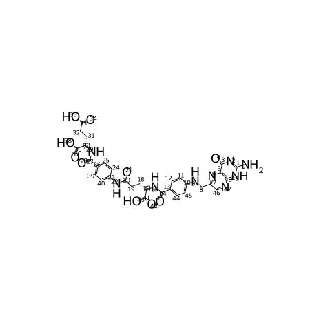 Nc1nc(=O)c2nc(CNc3ccc(C(=O)N[C@@H](CCC(=O)Nc4ccc(C(=O)N[C@@H](CCC(=O)O)C(=O)O)cc4)C(=O)O)cc3)cnc2[nH]1